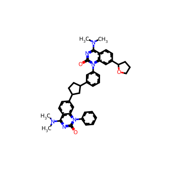 CN(C)c1nc(=O)n(-c2ccccc2)c2cc(C3CCC(c4cccc(-n5c(=O)nc(N(C)C)c6ccc(C7CCCO7)cc65)c4)C3)ccc12